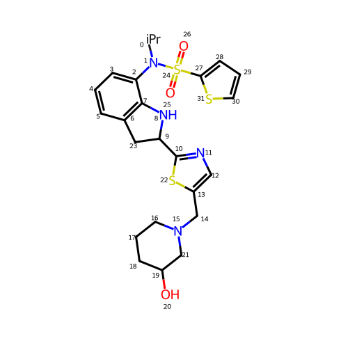 CC(C)N(c1cccc2c1NC(c1ncc(CN3CCCC(O)C3)s1)C2)S(=O)(=O)c1cccs1